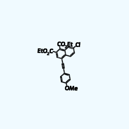 CCOC(=O)c1cc(C#Cc2ccc(OC)cc2)c2ccc(Cl)cc2c1C(=O)OCC